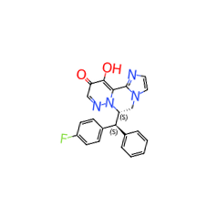 O=c1cnn2c(c1O)-c1nccn1C[C@@H]2[C@@H](c1ccccc1)c1ccc(F)cc1